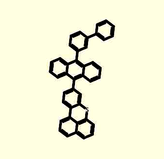 c1ccc(-c2cccc(-c3c4ccccc4c(-c4ccc5c(c4)Sc4cccc6cccc-5c46)c4ccccc34)c2)cc1